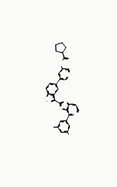 Cc1cc(F)cc(-c2nccc3[nH]c(-c4n[nH]c5ccc(-c6cncc(NC(=O)C7CCCC7)c6)cc45)nc23)c1